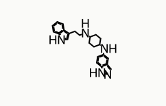 c1ccc2c(CCN[C@H]3CC[C@@H](Nc4ccc5[nH]ncc5c4)CC3)c[nH]c2c1